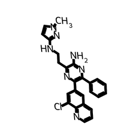 Cn1ccc(NCCc2nc(-c3cc(Cl)c4ncccc4c3)c(-c3ccccc3)nc2N)n1